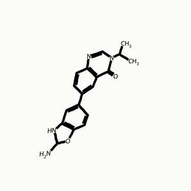 CC(C)n1cnc2ccc(-c3ccc4c(c3)NC(N)O4)cc2c1=O